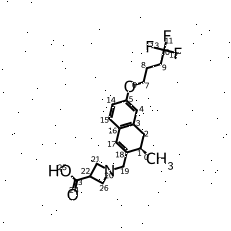 C[C@@H]1Cc2cc(OCCCC(F)(F)F)ccc2C=C1CN1CC(C(=O)O)C1